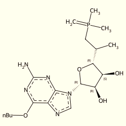 C=P(C)(C)CC(C)[C@H]1O[C@@H](n2cnc3c(OCCCC)nc(N)nc32)[C@H](O)[C@@H]1O